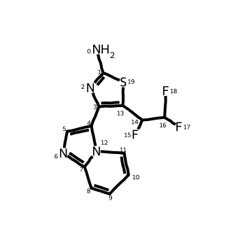 Nc1nc(-c2cnc3ccccn23)c(C(F)C(F)F)s1